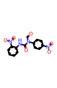 O=[C]N(C(=O)Nc1ccccc1[N+](=O)[O-])c1ccc([N+](=O)[O-])cc1